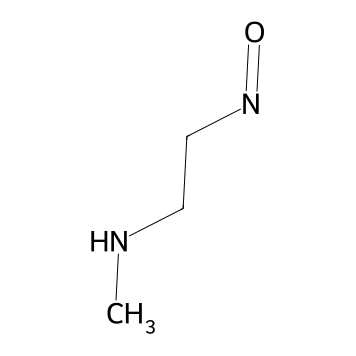 CNCCN=O